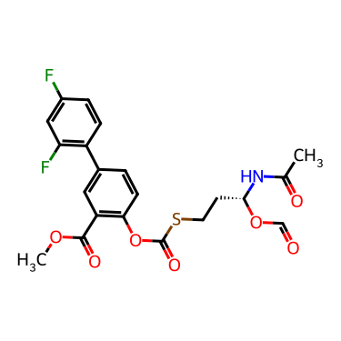 COC(=O)c1cc(-c2ccc(F)cc2F)ccc1OC(=O)SCC[C@H](NC(C)=O)OC=O